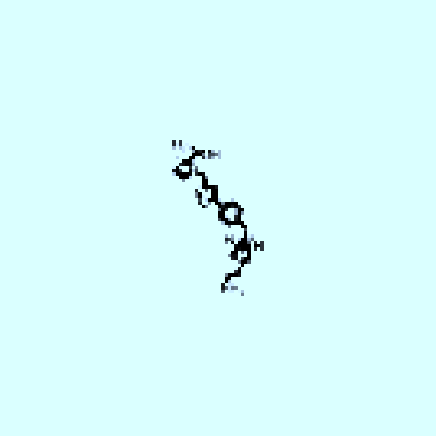 C[C@H](O)c1nccn1Cc1cc(-c2ccc(C[C@@H]3[C@H]4CN(CCN)C[C@@H]34)cc2)on1